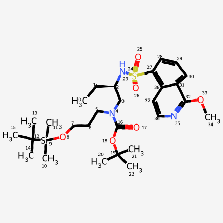 CC[C@H](CN(CCCO[Si](C)(C)C(C)(C)C)C(=O)OC(C)(C)C)NS(=O)(=O)c1cccc2c(OC)nccc12